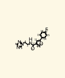 O=C(NCCn1cncn1)c1cc(-c2ccc(F)cc2)on1